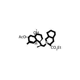 CCOC(=O)C1CC2CCCCC2CN1C[C@@H](C)[C@@H]1CC[C@@H](C)[C@]2(O)[C][C@@H](OC(C)=O)C(C)=C[C@H]12